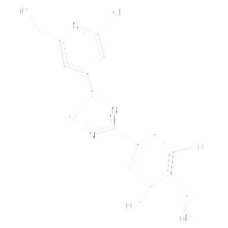 CCCOc1c(C)cc(-c2noc(-c3cc(Cl)nc(CC(C)C)c3)n2)cc1C